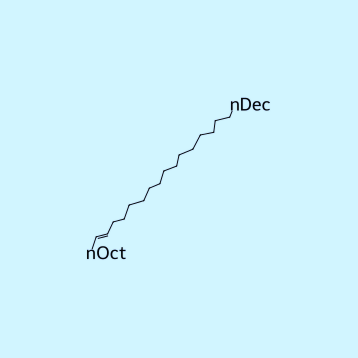 CCCCCCCCC=CCCCCCCCCCCCCCCCCCCCCCCCC